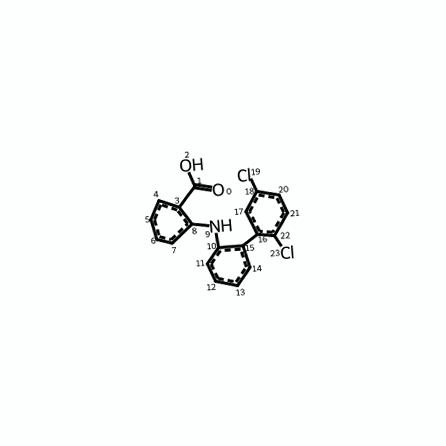 O=C(O)c1ccccc1Nc1ccccc1-c1cc(Cl)ccc1Cl